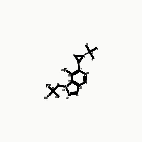 CC(C)(C)[C@H]1C[C@@H]1c1ncc2cnn(CC(F)(F)F)c2c1F